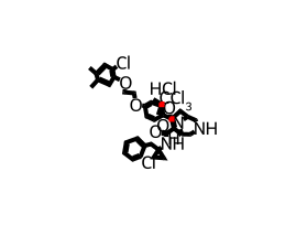 Cc1cc(Cl)c(OCCOc2ccc(C3=C(C(=O)NC4(Cc5ccccc5Cl)CC4)[C@H]4CNCC(C3)N4C(=O)OC(C)(C)C(Cl)(Cl)Cl)cc2)cc1C.Cl